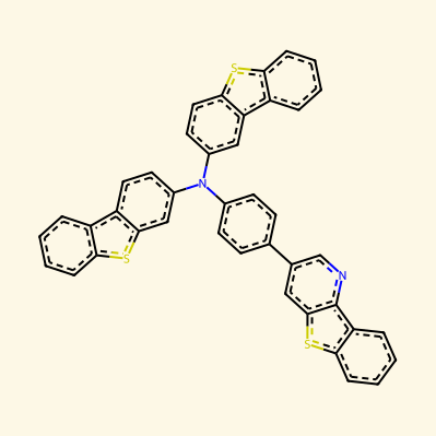 c1ccc2c(c1)sc1cc(N(c3ccc(-c4cnc5c(c4)sc4ccccc45)cc3)c3ccc4sc5ccccc5c4c3)ccc12